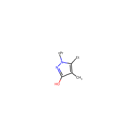 CCCn1nc(O)c(C)c1CC